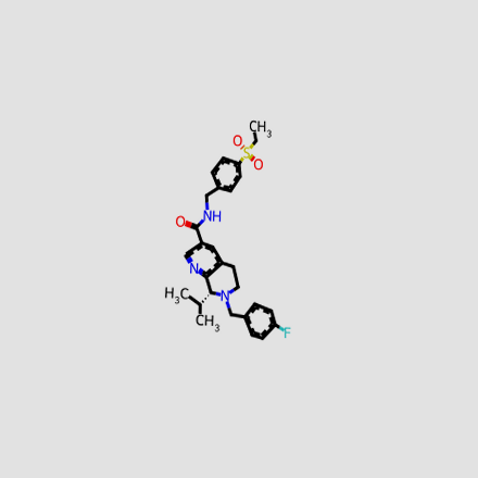 CCS(=O)(=O)c1ccc(CNC(=O)c2cnc3c(c2)CCN(Cc2ccc(F)cc2)[C@@H]3C(C)C)cc1